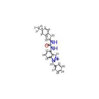 CC(C)(C)c1ccc2c(c1)CC(NC(=O)Nc1cccc3c1cnn3Cc1ccccc1)C2